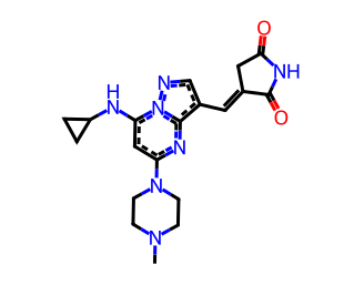 CN1CCN(c2cc(NC3CC3)n3ncc(C=C4CC(=O)NC4=O)c3n2)CC1